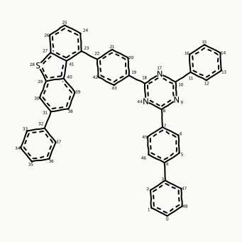 c1ccc(-c2ccc(-c3nc(-c4ccccc4)nc(-c4ccc(-c5cccc6sc7cc(-c8ccccc8)ccc7c56)cc4)n3)cc2)cc1